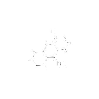 Nc1c2c(nc3c(F)cccc13)CCCS2